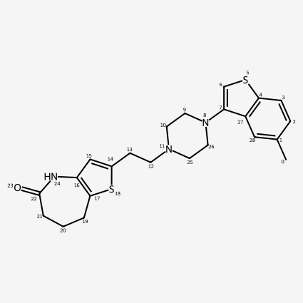 Cc1ccc2scc(N3CCN(CCc4cc5c(s4)CCCC(=O)N5)CC3)c2c1